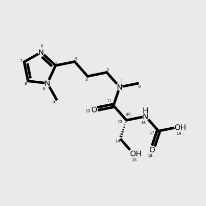 CN(CCCc1nccn1C)C(=O)[C@@H](CO)NC(=O)O